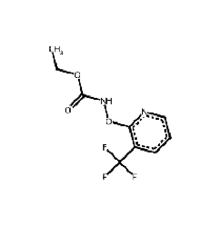 CCOC(=O)NOc1ncccc1C(F)(F)F